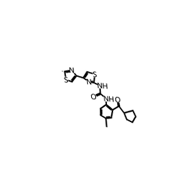 Cc1ccc(NC(=O)Nc2nc(-c3cs[c]n3)cs2)c(C(=O)C2CCCC2)c1